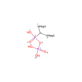 CCCCCCCC(CCCCCCC)P(=O)(O)OP(=O)(O)O